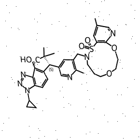 Cc1cnc2c(c1)S(=O)(=O)N(Cc1cc([C@H](c3ccc4c(nnn4C4CC4)c3C)C(C)(C)C(=O)O)cnc1C)CCCOCCO2